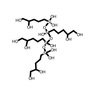 OCC(O)CCC[Si](O)(O)O[Si](O)(CCCC(O)CO)O[Si](O)(CCCC(O)CO)O[Si](O)(O)CCCC(O)CO